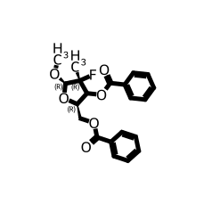 CO[C@@H]1O[C@H](COC(=O)c2ccccc2)C(OC(=O)c2ccccc2)[C@@]1(C)F